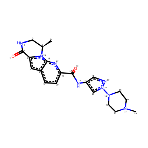 C[C@@H]1CNC(=O)c2cc3ccc(C(=O)Nc4cnn(N5CCN(C)CC5)c4)nc3n21